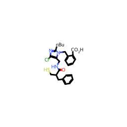 CCCCc1nc(Cl)c(CNC(=O)C(CS)Cc2ccccc2)n1Cc1ccccc1C(=O)O